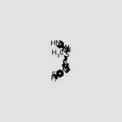 Cn1c(SCCCN2CC3CCN(c4ccc(C(F)(F)F)cc4)C3C2)nnc1C1=CCNC=C1